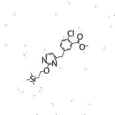 COC(=O)c1cc(Cc2ccnc(OCC[Si](C)(C)C)n2)ccc1Cl